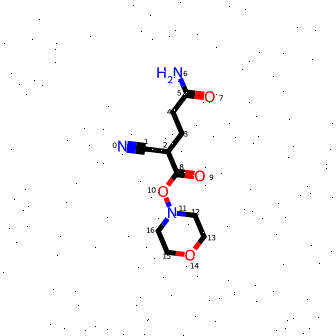 N#CC(CCC(N)=O)C(=O)ON1CCOCC1